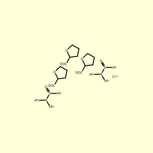 CCCN(CCC)[Si](=O)CCC.CCCN(CCC)[Si](=O)CCC.O=C([O-])C1CCCO1.O=C([O-])C1CCCO1.O=C([O-])C1CCCO1.[Cr+3]